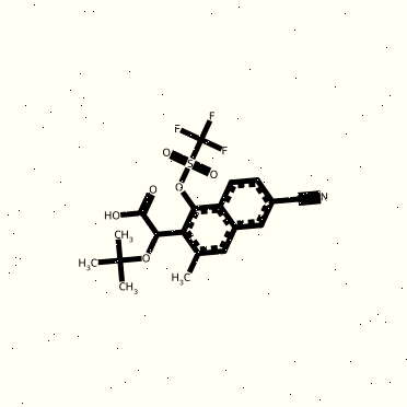 Cc1cc2cc(C#N)ccc2c(OS(=O)(=O)C(F)(F)F)c1C(OC(C)(C)C)C(=O)O